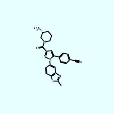 Cc1nc2cc(-n3nc(C(=O)N4CCC[C@@H](N)C4)cc3-c3ccc(C#N)cc3)ccc2s1